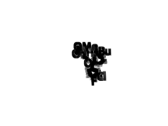 COC(=O)NCCO[C@@H](c1ccc(F)c(Cl)c1)[C@@H]1CCCN(C(C)(C)C)C1